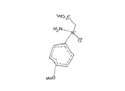 COc1ccc([N+](N)(Cl)CC(=O)O)cc1